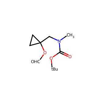 CN(CC1(OC=O)CC1)C(=O)OC(C)(C)C